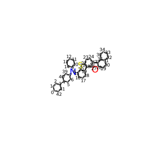 c1ccc(-c2ccc(N(c3ccccc3)c3cccc4c3sc3ccc5c(oc6ccc7ccccc7c65)c34)cc2)cc1